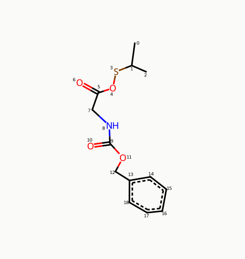 CC(C)SOC(=O)CNC(=O)OCc1ccccc1